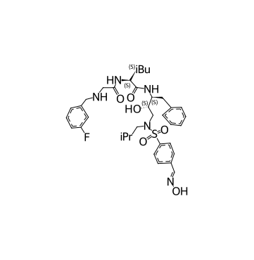 CC[C@H](C)[C@H](NC(=O)CNCc1cccc(F)c1)C(=O)N[C@@H](Cc1ccccc1)[C@@H](O)CN(CC(C)C)S(=O)(=O)c1ccc(C=NO)cc1